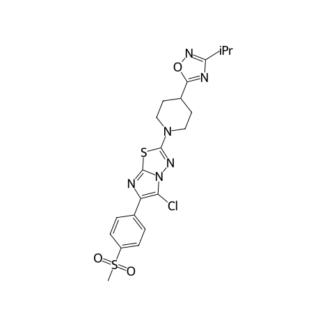 CC(C)c1noc(C2CCN(c3nn4c(Cl)c(-c5ccc(S(C)(=O)=O)cc5)nc4s3)CC2)n1